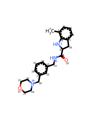 Cc1cccc2c1NC(C(=O)NCc1cccc(CN3CCOCC3)c1)C2